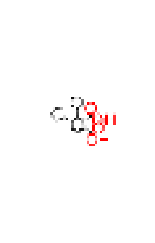 O=C(O)c1ccc(C2CCCC2)c(C2CCCC2)c1C(=O)O